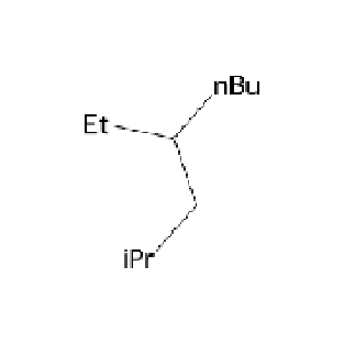 [CH2]CCCC(C[CH2])CC(C)C